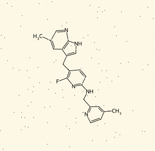 Cc1ccnc(CNc2ccc(Cc3c[nH]c4ncc(C)cc34)c(F)n2)c1